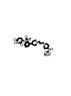 Cn1c(=O)n(C2CCC(=O)NC2=O)c2cccc(C3CCN(CCCN4CCC(NC(=O)OC(C)(C)C)CC4)CC3)c21